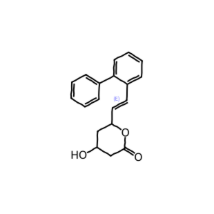 O=C1CC(O)CC(/C=C/c2ccccc2-c2ccccc2)O1